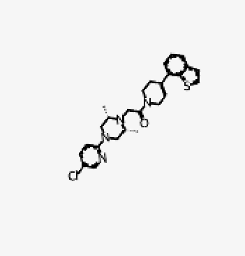 C[C@@H]1CN(c2ccc(Cl)cn2)C[C@H](C)N1CC(=O)N1CC=C(c2cccc3ccsc23)CC1